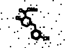 COC(=O)C1CN(Cc2cccc(C#N)c2)CCC1=O